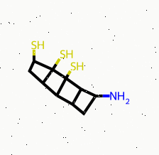 NC1CC2C1C1(S)C2C2CC(S)C21S